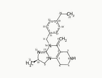 C=C1C2=C(CCNC2)N2C[C@@H](C)N=C2N1Cc1ccc(CC)cc1